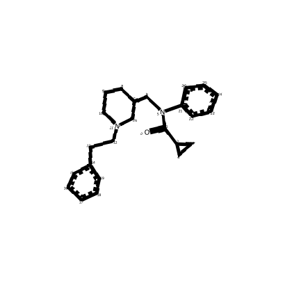 O=C(C1CC1)N(CC1CCCN(CCc2ccccc2)C1)c1ccccc1